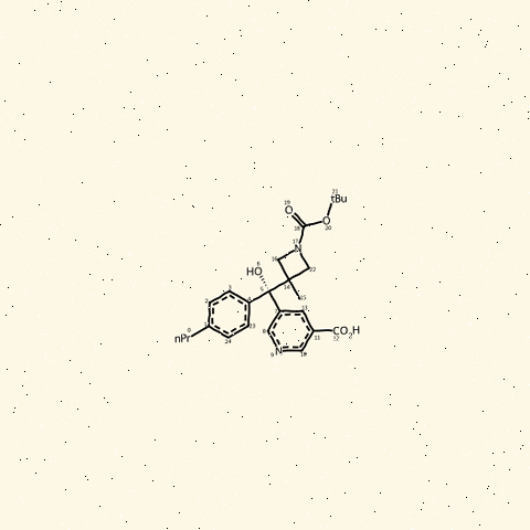 CCCc1ccc([C@](O)(c2cncc(C(=O)O)c2)C2(C)CN(C(=O)OC(C)(C)C)C2)cc1